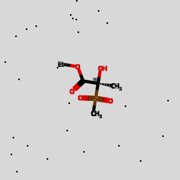 CCOC(=O)[C@@](C)(O)S(C)(=O)=O